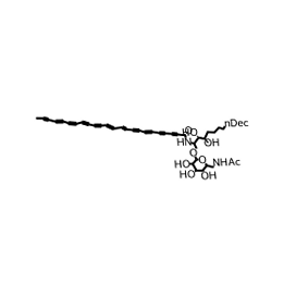 CC#CC#CC#CC#CC#CC#CC#CC#CC#CC#CC#CC(=O)NC(COC1OC(CNC(C)=O)C(O)C(O)C1O)[C@H](O)[C@H](O)CCCCCCCCCCCCCC